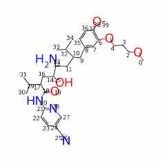 COCCCOc1cc(CC(CC(N)C(O)CC(C(=O)Nc2ccc(C#N)cn2)C(C)C)C(C)C)ccc1OC